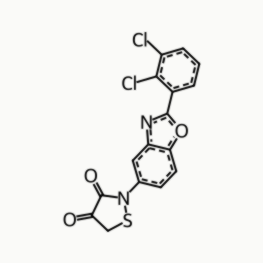 O=C1CSN(c2ccc3oc(-c4cccc(Cl)c4Cl)nc3c2)C1=O